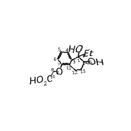 [CH2]CC1(O)c2cccc(OCC(=O)O)c2CCC1O